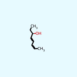 C/C=C\C=C\[C@H](O)CC